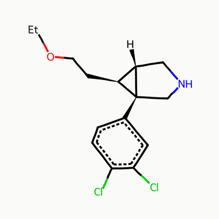 CCOCC[C@H]1[C@@H]2CNC[C@]12c1ccc(Cl)c(Cl)c1